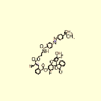 CN(C)c1ccc(/N=N/c2ccc(C(=O)NCCCOC(=O)/C(C#N)=C/c3ccccc3C(=O)Oc3cc4c(cc3F)C3(OC(=O)c5ccccc53)c3cc(F)c(O)cc3O4)cc2)cc1